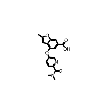 Cc1cc2c(Oc3ccc(C(=O)N(C)C)nc3)cc(C(=O)O)cc2o1